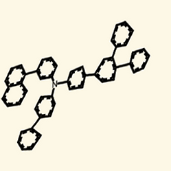 c1ccc(-c2ccc(N(c3ccc(-c4ccc(-c5ccccc5)c(-c5ccccc5)c4)cc3)c3cccc(-c4cccc5ccccc45)c3)cc2)cc1